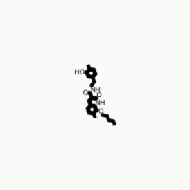 CCCCCOc1c(C)ccc2cc(C(=O)NCCc3ccc(C)c(O)c3)c(=O)[nH]c12